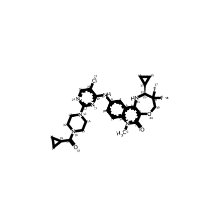 Cn1c(=O)c2c(c3cc(Nc4nc(N5CCN(C(=O)C6CC6)CC5)ncc4Cl)ccc31)N[C@@H](C1CC1)C(F)(F)CO2